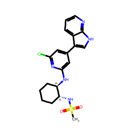 CS(=O)(=O)N[C@@H]1CCCC[C@H]1Nc1cc(-c2c[nH]c3ncccc23)cc(Cl)n1